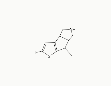 CC1c2sc(I)cc2C2CNCC12